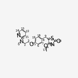 CN(CCOc1ccc(CC2SC(=O)N=C2OI)cc1)c1ccccn1